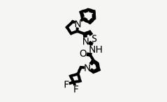 O=C(Nc1nc(C2CCCN2c2ccccc2)cs1)c1cccn1CC1CC(F)(F)C1